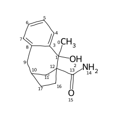 CC1(O)c2ccccc2CC2[CH]C1(C(N)=O)CC2